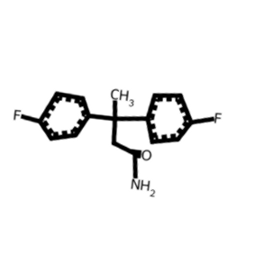 CC(CC(N)=O)(c1ccc(F)cc1)c1ccc(F)cc1